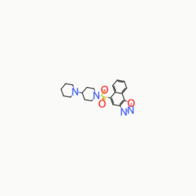 O=S(=O)(c1cc2nnoc2c2ccccc12)N1CCC(N2CCCCC2)CC1